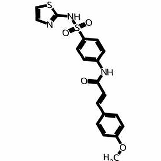 COc1ccc(/C=C/C(=O)Nc2ccc(S(=O)(=O)Nc3nccs3)cc2)cc1